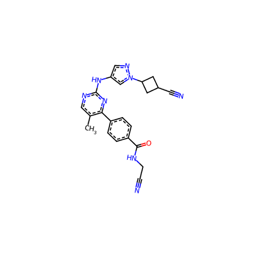 Cc1cnc(Nc2cnn(C3CC(C#N)C3)c2)nc1-c1ccc(C(=O)NCC#N)cc1